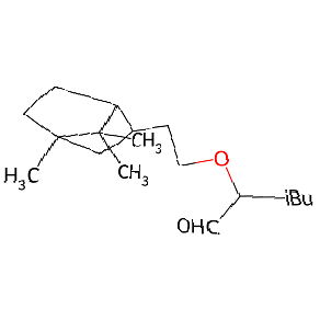 CCC(C)C(C=O)OCCC1CC2(C)CCC1C2(C)C